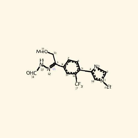 CCn1cnc(-c2ccc(/C(COC)=N/NC=O)cc2C(F)(F)F)c1